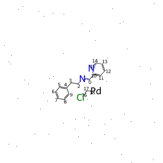 C(=NCCc1ccccc1)c1ccccn1.Cl[CH2][Pd]